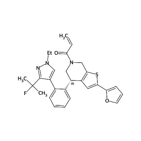 C=CC(=O)N1Cc2sc(-c3ccco3)cc2[C@H](c2ccccc2-c2cn(CC)nc2C(C)(C)F)C1